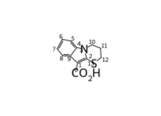 O=C(O)c1c2n(c3ccccc13)CCCS2